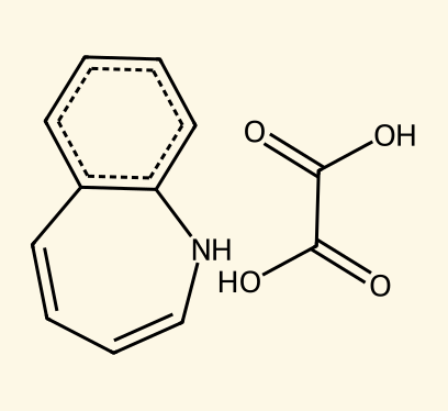 C1=CNc2ccccc2C=C1.O=C(O)C(=O)O